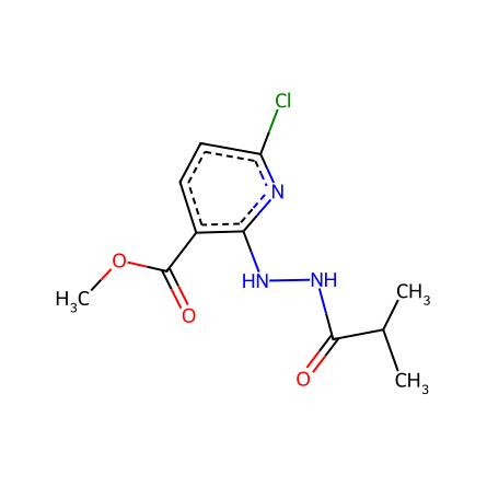 COC(=O)c1ccc(Cl)nc1NNC(=O)C(C)C